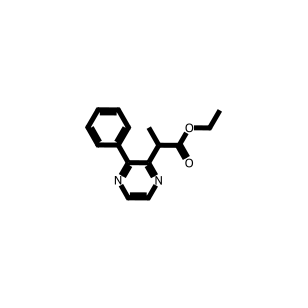 CCOC(=O)C(C)c1nccnc1-c1ccccc1